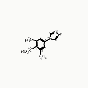 Cc1cc(-n2cnnc2)cc(C)c1C(=O)O